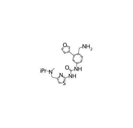 CC(C)N(C)Cc1csc(NC(=O)Nc2ccc(CN)c(-c3ccoc3)c2)n1